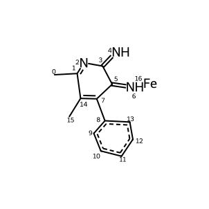 CC1=NC(=N)C(=N)C(c2ccccc2)=C1C.[Fe]